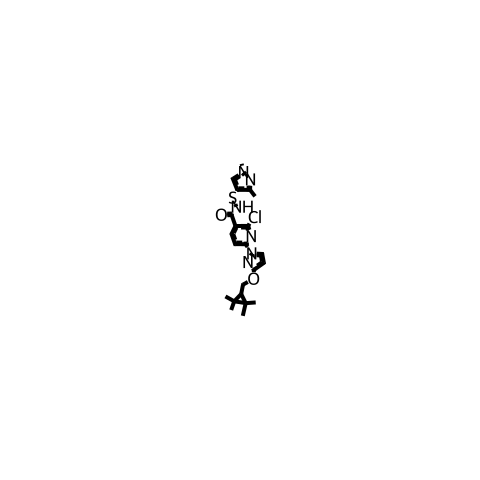 Cc1nn(C)cc1SNC(=O)c1ccc(-n2ccc(OCC3C(C)(C)C3(C)C)n2)nc1Cl